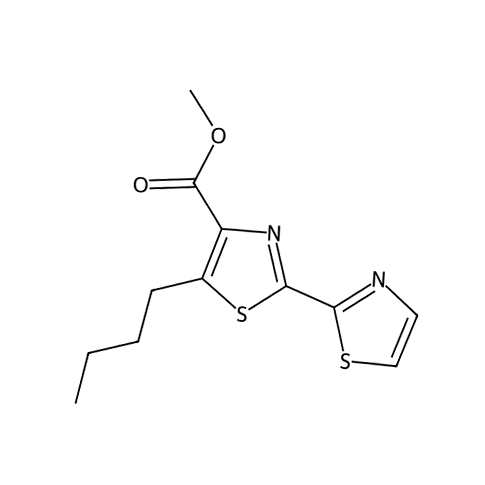 CCCCc1sc(-c2nccs2)nc1C(=O)OC